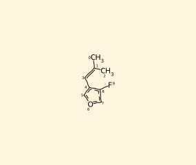 CC(C)=Cc1cocc1F